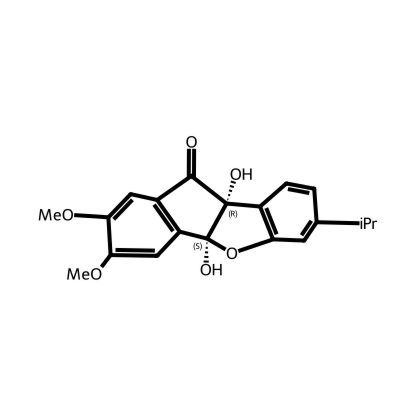 COc1cc2c(cc1OC)[C@]1(O)Oc3cc(C(C)C)ccc3[C@]1(O)C2=O